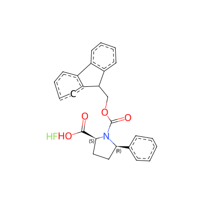 F.O=C(O)[C@@H]1CC[C@H](c2ccccc2)N1C(=O)OCC1c2ccccc2-c2ccccc21